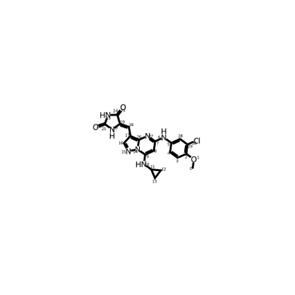 COc1ccc(Nc2cc(NC3CC3)n3ncc(/C=C4\NC(=O)NC4=O)c3n2)cc1Cl